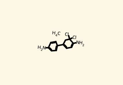 C.NC1=CC=C(c2ccc(N)cc2)CC1(Cl)Cl